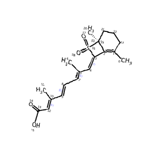 CC1=C2/C(=C/C(C)=C/C=C/C(C)=C/C(=O)O)S(=O)(=O)[C@@]2(C)CCC1